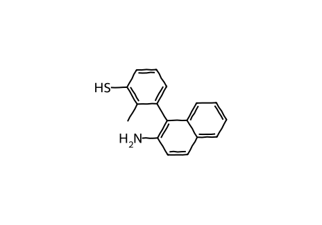 Cc1c(S)cccc1-c1c(N)ccc2ccccc12